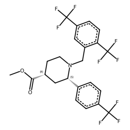 COC(=O)[C@@H]1CCN(Cc2cc(C(F)(F)F)ccc2C(F)(F)F)[C@H](c2ccc(C(F)(F)F)cc2)C1